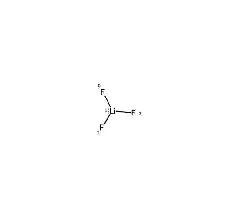 [F][Li]([F])[F]